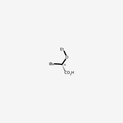 CCO[C@H](C(=O)O)C(C)CC